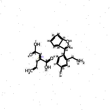 C=CC/C(=C\C(=O)O)C(=O)O.NCc1cc(F)ccc1-c1noc2ccccc12